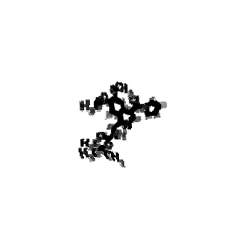 COc1cc2c(C(=O)N3CCCC3)cnc(CNC(=O)OC(C)(C)C)c2cc1OC